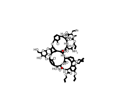 C=CCOC(=O)[C@H]1NC(=O)[C@H]2NC(=O)[C@H](NC(=O)[C@@H]3NC(=O)[C@H](CC(N)=O)NC(=O)[C@H](NC(=O)[C@@H](CC(C)C)N(C)C(=O)OCC=C)[C@H](O)c4ccc(c(Cl)c4)Oc4cc3cc(c4OC3OC(CO)C(O)C(O)C3O)Oc3ccc(cc3Cl)[C@H]2O)c2ccc(OCC=C)c(c2)-c2c(OCC=C)cc(OCC=C)cc21